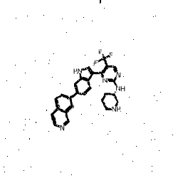 FC(F)(F)c1cnc(N[C@H]2CCCNC2)nc1-c1c[nH]c2cc(-c3ccc4ccncc4c3)ccc12